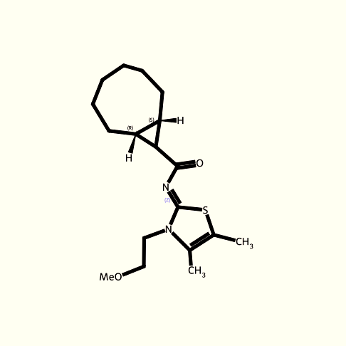 COCCn1c(C)c(C)s/c1=N\C(=O)C1[C@H]2CCCCCC[C@@H]12